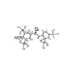 CC(C)(C)c1ccc(CC(=O)c2cc(C(C)(C)C)c(O)c(C(C)(C)C)c2)c(C(C)(C)C)c1